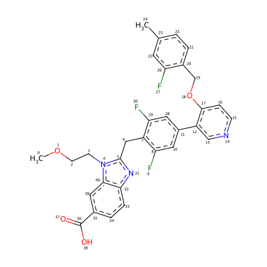 COCCn1c(Cc2c(F)cc(-c3cnccc3OCc3ccc(C)cc3F)cc2F)nc2ccc(C(=O)O)cc21